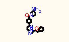 N[C@@H]1CCCN(C(=O)c2ccc(-c3ccc4ncc(-c5cc6ccccc6o5)n4n3)cc2)C1